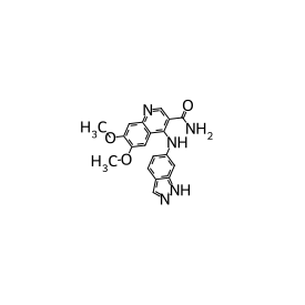 COc1cc2ncc(C(N)=O)c(Nc3ccc4cn[nH]c4c3)c2cc1OC